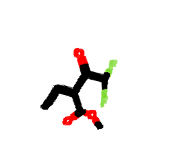 CCC(C(=O)OC)C(=O)C(F)F